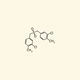 Cc1ccc(CS(=O)(=O)Cc2ccc(C)c(Cl)c2)cc1Cl